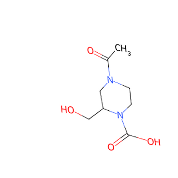 CC(=O)N1CCN(C(=O)O)C(CO)C1